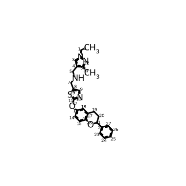 CCn1cc(CNCc2cnc(Oc3ccc4c(c3)CCC(c3ccccc3)O4)s2)c(C)n1